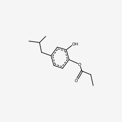 CCC(=O)Oc1ccc(CC(C)C)cc1O